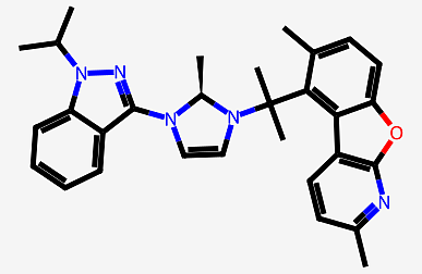 Cc1ccc2c(n1)oc1ccc(C)c(C(C)(C)N3C=CN(c4nn(C(C)C)c5ccccc45)[C@H]3C)c12